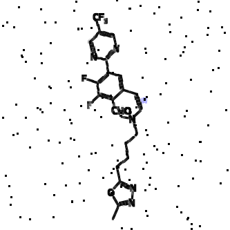 Cc1nnc(CCCCN(C)/C=C\c2cc(-c3ncc(C(F)(F)F)cn3)c(F)c(F)c2C=O)o1